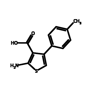 Cc1ccc(-c2csc(N)c2C(=O)O)cc1